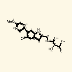 COc1cnc(-c2cc3[nH]c(CNC(=O)[C@H](O)C(F)F)cc3cc2Cl)cn1